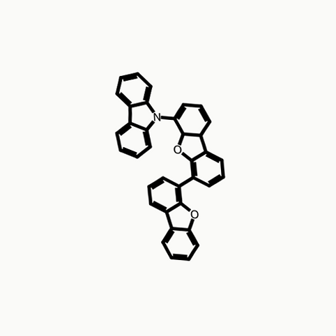 C1=CC2c3cccc(-c4cccc5c4oc4ccccc45)c3OC2C(n2c3ccccc3c3ccccc32)=C1